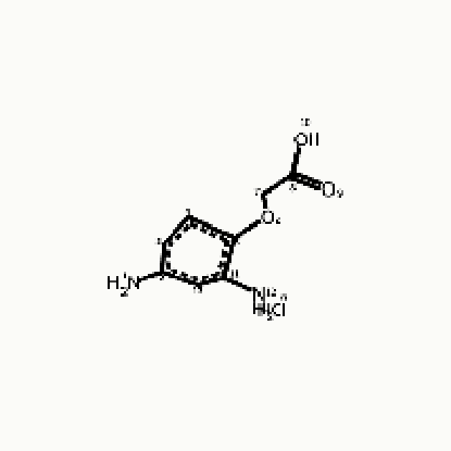 Cl.Nc1ccc(OCC(=O)O)c(N)c1